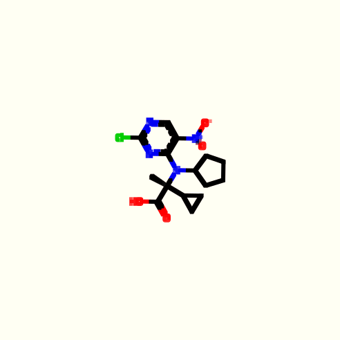 C[C@](C(=O)O)(C1CC1)N(c1nc(Cl)ncc1[N+](=O)[O-])C1CCCC1